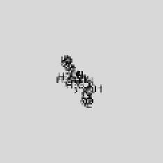 C[C@]12C[C@H](N3CCC4(CC3)OCCO4)[C@@H](O)C[C@@H]1CC[C@@H]1[C@@H]2CC[C@]2(C)[C@@H](O)[C@@H](N3CCC4(CC3)OCCO4)C[C@@H]12